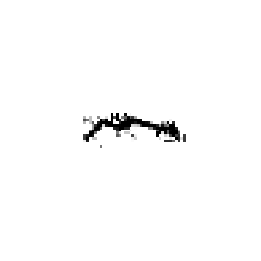 C\C(=C/C=C/C=C/C=C/C=C/C(C)C(O)/C(C)=C/C(C)CCC/C=C/C(C)C/C=C/CCCN)C(=O)NC1=C(O)CCC1=O